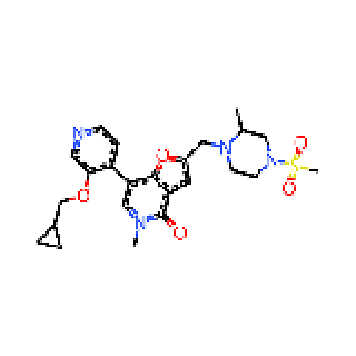 CC1CN(S(C)(=O)=O)CCN1Cc1cc2c(=O)n(C)cc(-c3ccncc3OCC3CC3)c2o1